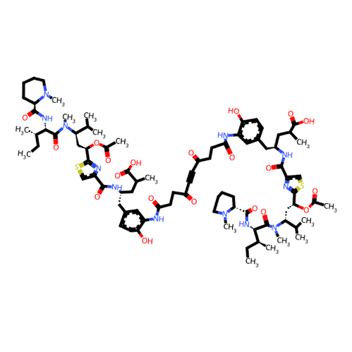 CC[C@H](C)[C@H](NC(=O)[C@H]1CCCCN1C)C(=O)N(C)[C@H](C[C@@H](OC(C)=O)c1nc(C(=O)N[C@@H](Cc2ccc(O)c(NC(=O)CCC(=O)C#CC(=O)CCC(=O)Nc3cc(C[C@@H](CC(C)C(=O)O)NC(=O)c4csc([C@@H](C[C@H](C(C)C)N(C)C(=O)[C@@H](NC(=O)[C@H]5CCCCN5C)[C@@H](C)CC)OC(C)=O)n4)ccc3O)c2)CC(C)C(=O)O)cs1)C(C)C